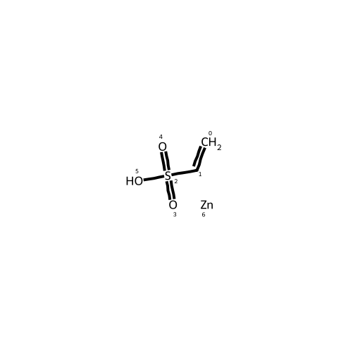 C=CS(=O)(=O)O.[Zn]